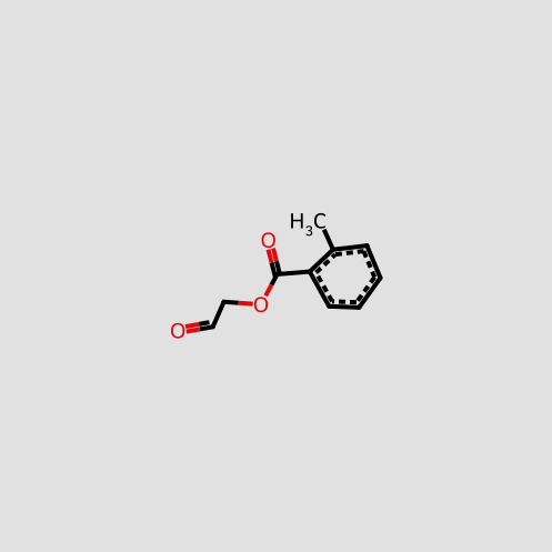 Cc1ccccc1C(=O)OCC=O